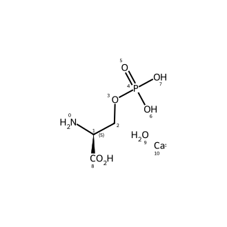 N[C@@H](COP(=O)(O)O)C(=O)O.O.[Ca]